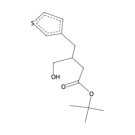 CC(C)(C)OC(=O)CC(CO)Cc1ccsc1